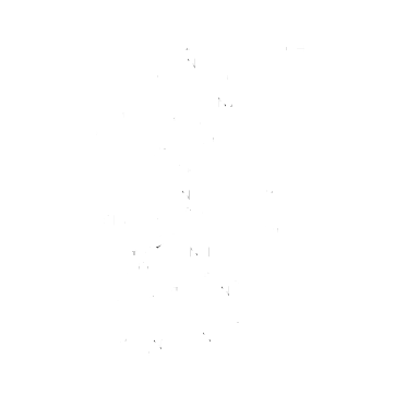 COCc1ncc(-c2cccc3c(Cl)c([C@H](C)Nc4ncnc5[nH]ccc(=O)c45)n(-c4ccccc4)c(=O)c23)cn1